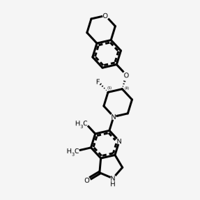 Cc1c(N2CC[C@@H](Oc3ccc4c(c3)COCC4)[C@@H](F)C2)nc2c(c1C)C(=O)NC2